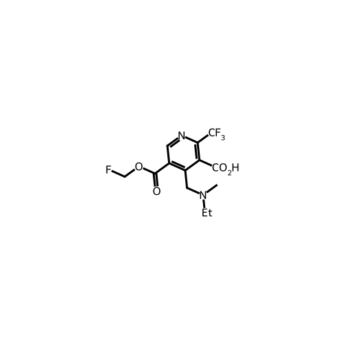 CCN(C)Cc1c(C(=O)OCF)cnc(C(F)(F)F)c1C(=O)O